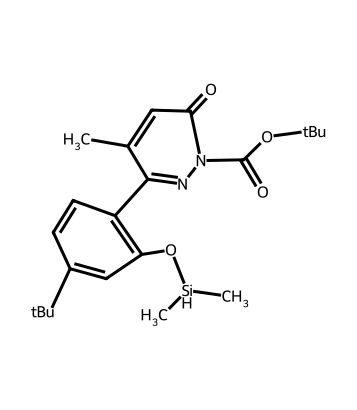 Cc1cc(=O)n(C(=O)OC(C)(C)C)nc1-c1ccc(C(C)(C)C)cc1O[SiH](C)C